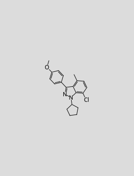 COc1ccc(-c2nn(C3CCCC3)c3c(Cl)ccc(C)c23)cc1